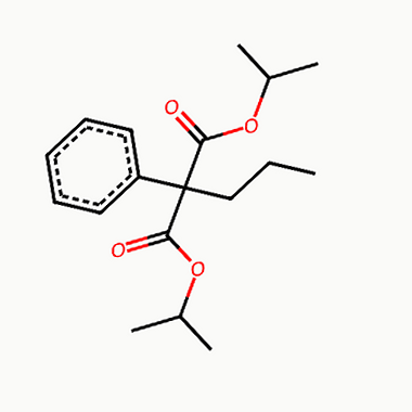 CCCC(C(=O)OC(C)C)(C(=O)OC(C)C)c1ccccc1